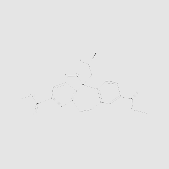 CNC(=O)c1ccc2c(c1)CCc1cc(C(=O)NC)ccc1C2(C[C@H](C)N)C(N)=O